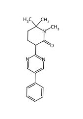 CN1C(=O)C(c2ncc(-c3ccccc3)cn2)CCC1(C)C